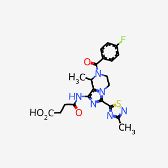 Cc1nsc(-c2nc(NC(=O)CCC(=O)O)c3n2CCN(C(=O)c2ccc(F)cc2)C3C)n1